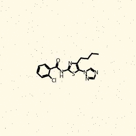 CCCCc1nc(NC(=O)c2ccccc2Cl)sc1-n1cncn1